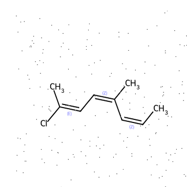 C\C=C/C(C)=C\C=C(/C)Cl